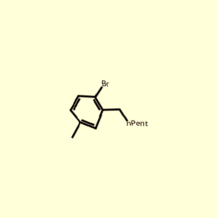 CCCCCCc1cc(C)ccc1Br